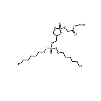 CCCCCCCCOC(=O)CSP1(=S)OCC(CSP(=O)(SOCCCCCC(C)C)SOCCCCCC(C)C)O1